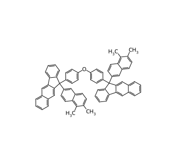 Cc1ccc2cc(C3(c4ccc(Oc5ccc(C6(c7ccc8c(C)c(C)ccc8c7)c7ccccc7-c7cc8ccccc8cc76)cc5)cc4)c4ccccc4-c4cc5ccccc5cc43)ccc2c1C